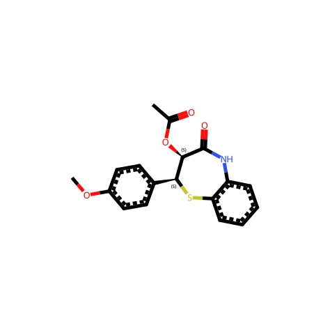 COc1ccc([C@@H]2Sc3ccccc3NC(=O)[C@@H]2OC(C)=O)cc1